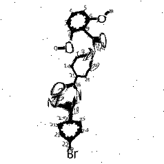 COc1cccc(OC)c1C(=O)N1CCC(c2nc(-c3ccc(Br)cc3)no2)CC1